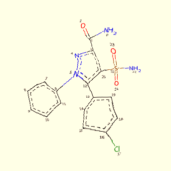 NC(=O)c1nn(-c2ccccc2)c(-c2ccc(Cl)cc2)c1S(N)(=O)=O